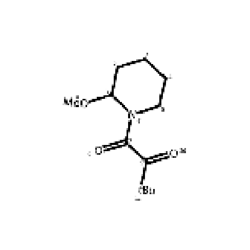 COC1CCCCN1C(=O)C(=O)C(C)(C)C